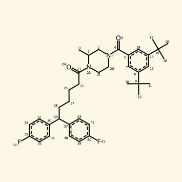 CC1CN(C(=O)c2cc(C(C)(C)C)cc(C(C)(C)C)c2)CCN1C(=O)CCCCC(c1ccc(F)cc1)c1ccc(F)cc1